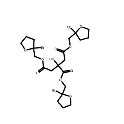 CCC1(COC(=O)CC(O)(CC(=O)OCC2(CC)CCCO2)C(=O)OCC2(CC)CCCO2)CCCO1